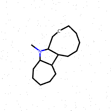 CN1C2CCCCCCCC2C2CCCCCC21